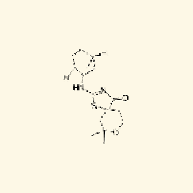 CC1(C)C[C@]2(CCO1)SC(N[C@H]1C[C@H]3CC[C@H]1C3)=NC2=O